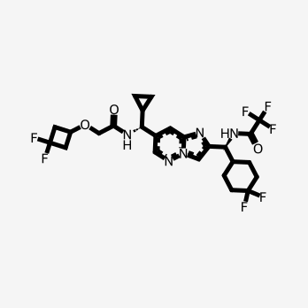 O=C(COC1CC(F)(F)C1)N[C@@H](c1cnn2cc([C@@H](NC(=O)C(F)(F)F)C3CCC(F)(F)CC3)nc2c1)C1CC1